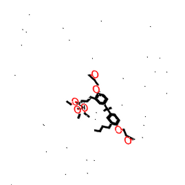 CCCCc1cc(C(C)(C)c2ccc(OCC3CO3)c(CCC[Si](OCC)(OCC)OCC)c2)ccc1OCC1CO1